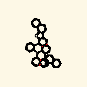 c1ccc(-c2ccccc2N(c2ccccc2-c2cccc3c2oc2c4ccccc4ccc32)c2cccc3oc4c5ccccc5ccc4c23)cc1